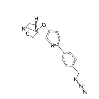 [N-]=[N+]=NCc1ccc(-c2ccc(O[C@H]3CN4CCC3CC4)cn2)cc1